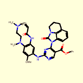 C=CC(=O)Nc1cc(Nc2ncc(C(=O)OC(C)C)c(-n3c(=O)n4c5c(cccc53)CCC4)n2)c(OC)cc1N(C)CCN(C)C